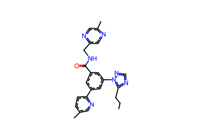 CCCc1ncnn1-c1cc(C(=O)NCc2cnc(C)cn2)cc(-c2ccc(C)cn2)c1